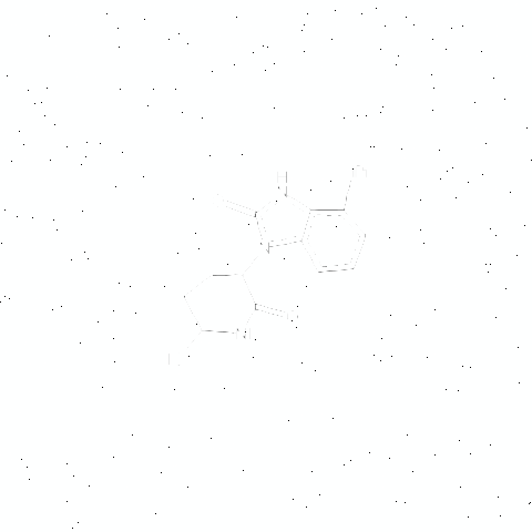 CC(C)c1cccc2c1[nH]c(=O)n2C1CCC(O)NC1=O